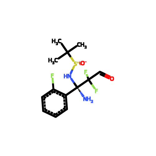 CC(C)(C)[S@@+]([O-])N[C@](N)(c1ccccc1F)C(F)(F)C=O